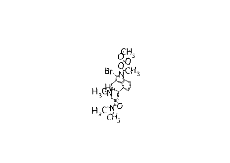 CCN(CC)C(=O)[C@@H]1C=C2c3cccc4c3c(c(Br)n4C(C)OC(=O)OC)C[C@H]2N(C)C1